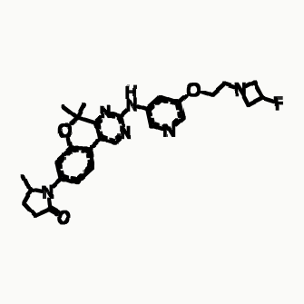 CC1CCC(=O)N1c1ccc2c(c1)OC(C)(C)c1nc(Nc3cncc(OCCN4CC(F)C4)c3)ncc1-2